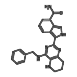 NC(=O)c1cccc2c(-c3nc4c(c(NCc5ccccc5)n3)NCCC4)[nH]cc12